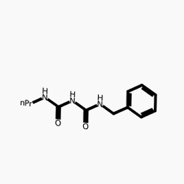 CCCNC(=O)NC(=O)NCc1ccccc1